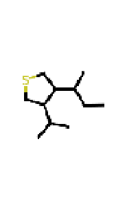 CCC(C)C1CSCC1C(C)C